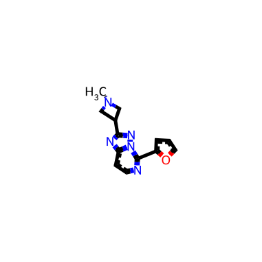 CN1CC(c2nc3ccnc(-c4ccco4)n3n2)C1